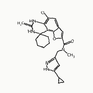 C=C1Nc2c(Cl)cc3cc(C(=O)N(C)Cc4cc(C5CC5)[nH]n4)oc3c2C2(CCCCC2)N1